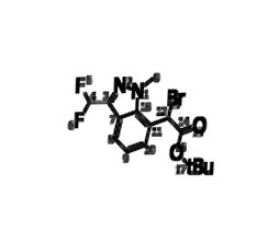 Cn1nc(C(F)F)c2cccc(C(Br)C(=O)OC(C)(C)C)c21